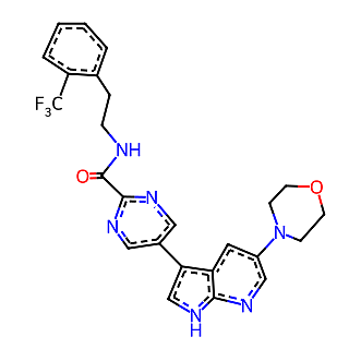 O=C(NCCc1ccccc1C(F)(F)F)c1ncc(-c2c[nH]c3ncc(N4CCOCC4)cc23)cn1